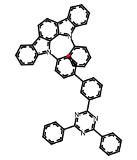 c1ccc(-c2nc(-c3ccccc3)nc(-c3cccc(-c4ccc(-n5c6ccccc6c6ccc7c8ccccc8n(-c8ccccc8)c7c65)cc4)c3)n2)cc1